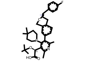 Cc1nc(C)c([C@H](OC(C)(C)C)C(=O)O)c(N2CCC(C)(C)CC2)c1-c1ccc2c(c1)CC/C(=C/c1ccc(F)cc1)C2